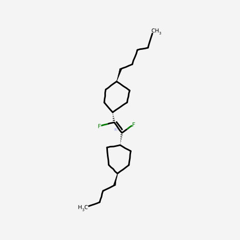 CCCCC[C@H]1CC[C@H](/C(F)=C(\F)[C@H]2CC[C@H](CCCC)CC2)CC1